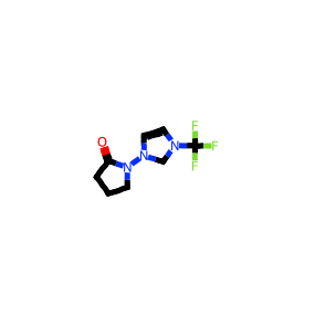 O=C1CCCN1N1C=CN(C(F)(F)F)C1